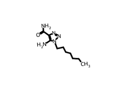 CCCCCCCn1nnc(C(N)=O)c1N